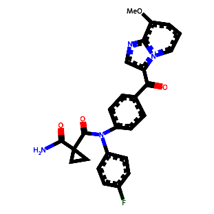 COc1cccn2c(C(=O)c3ccc(N(C(=O)C4(C(N)=O)CC4)c4ccc(F)cc4)cc3)cnc12